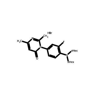 Br.CCCCCCN(CCCCCC)c1ccc(-n2c(C)nc(C)cc2=O)cc1F